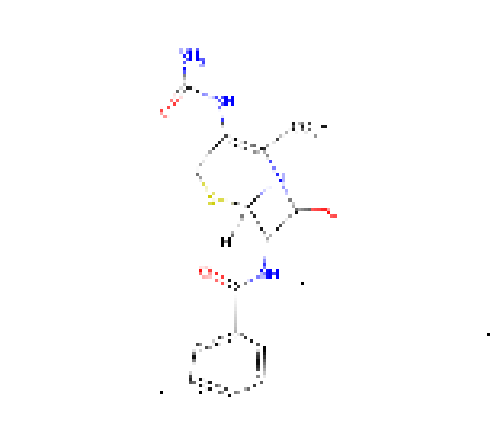 NC(=O)NC1=C(C(=O)O)N2C(=O)C(NC(=O)c3ccccc3)[C@H]2SC1